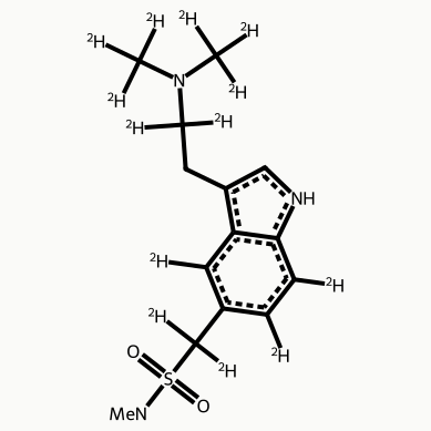 [2H]c1c(C([2H])([2H])S(=O)(=O)NC)c([2H])c2c(CC([2H])([2H])N(C([2H])([2H])[2H])C([2H])([2H])[2H])c[nH]c2c1[2H]